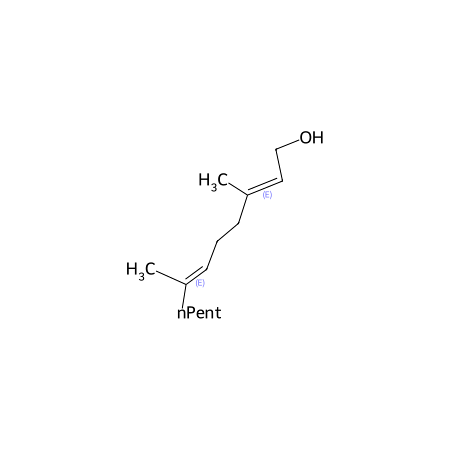 CCCCC/C(C)=C/CC/C(C)=C/CO